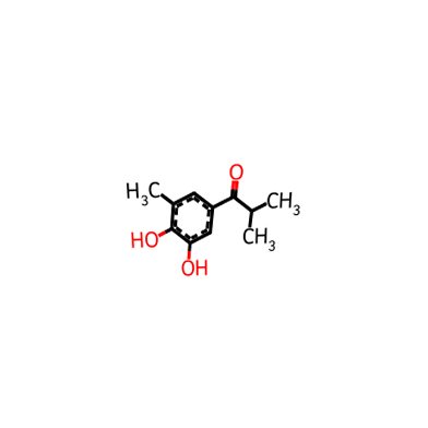 Cc1cc(C(=O)C(C)C)cc(O)c1O